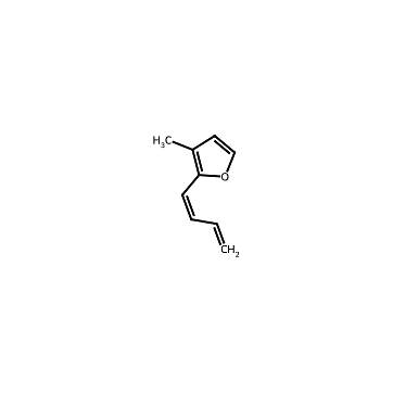 C=C/C=C\c1occc1C